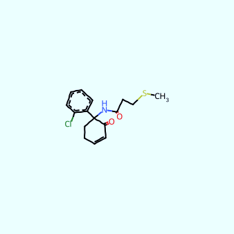 CSCCC(=O)NC1(c2ccccc2Cl)CCC=CC1=O